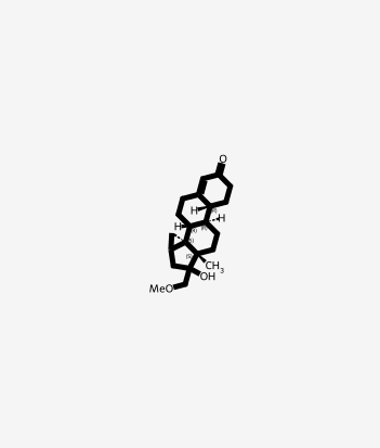 COCC1(O)CC2C[C@@]23[C@@H]2CCC4=CC(=O)CC[C@@H]4[C@H]2CC[C@]13C